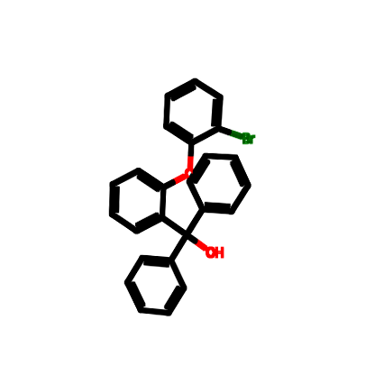 OC(c1ccccc1)(c1ccccc1)c1ccccc1Oc1ccccc1Br